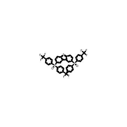 Cc1ccc(P(=O)(c2ccc(C(F)(F)F)cc2)c2ccc3sc4ccc(P(=O)(c5ccc(C(F)(F)F)cc5)c5ccc(C(F)(F)F)cc5)cc4c3c2)cc1